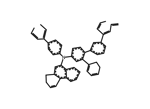 C=C/C=C(\C=C/C)c1cccc(-c2ccc(N(c3ccc(C(/C=C\C)=C/C)cc3)c3cc4c(c5ccccc35)C=CCC4)cc2C2=CC=CCC2)c1